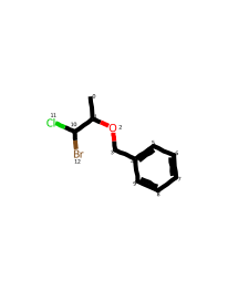 CC(OCc1ccccc1)C(Cl)Br